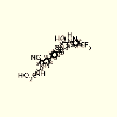 N#Cc1cn(CCNC(=O)O)c2ncc(-c3ccc(S(=O)(=O)N4CC[C@@H](Nc5ccc(C(F)(F)F)cn5)[C@@H](O)C4)cc3)cc12